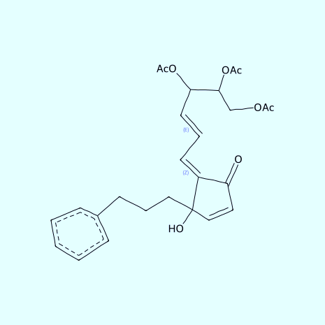 CC(=O)OCC(OC(C)=O)C(/C=C/C=C1\C(=O)C=CC1(O)CCCc1ccccc1)OC(C)=O